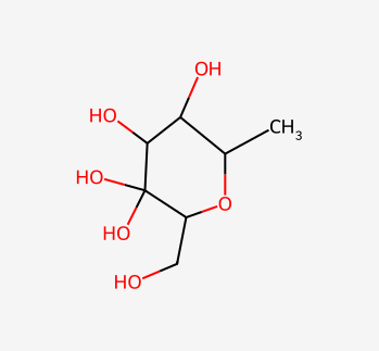 CC1OC(CO)C(O)(O)C(O)C1O